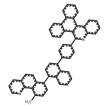 Cc1ccc(-c2ccc(-c3ccc(-c4nc5ccccc5c5c6ccccc6c6ccccc6c45)cc3)c3ccccc23)c2ccc3cccnc3c12